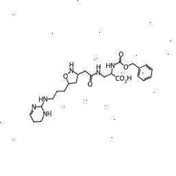 O=C(CC1CC(CCCNC2N=CCCN2)ON1)NCC(NC(=O)OCc1ccccc1)C(=O)O